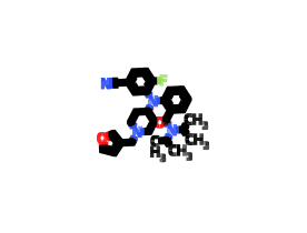 CC(C)N(C(=O)c1ccccc1N(c1cc(C#N)ccc1F)C1CCN(Cc2ccoc2)CC1)C(C)C